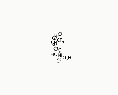 O=C(O)C1(CN[C@@H]2COc3cc(-c4noc(-c5onc(-c6ccccc6)c5C(F)(F)F)n4)ccc3[C@H]2O)CCCCC1